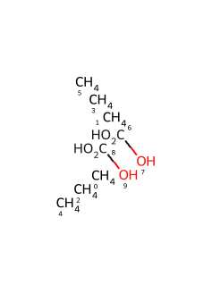 C.C.C.C.C.C.O=C(O)O.O=C(O)O